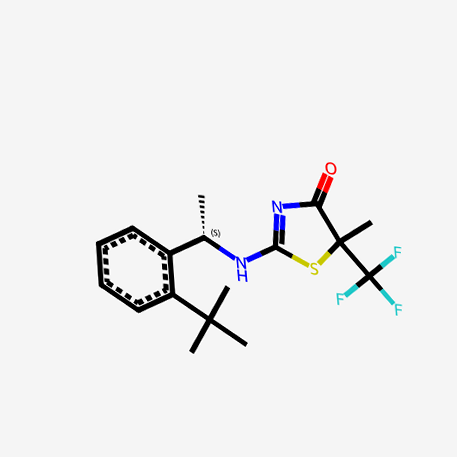 C[C@H](NC1=NC(=O)C(C)(C(F)(F)F)S1)c1ccccc1C(C)(C)C